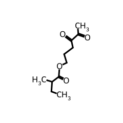 CCC(C)C(=O)OCCCC(=O)C(C)=O